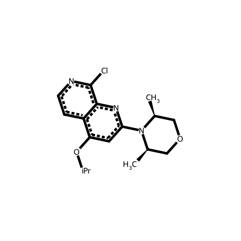 CC(C)Oc1cc(N2[C@H](C)COC[C@@H]2C)nc2c(Cl)nccc12